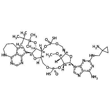 CO[C@H]1[C@H]2OP(=O)(S)OC[C@H]3O[C@@H](n4cc5c6c(ncnc64)NCCC5)[C@H](O[Si](C)(C)C(C)(C)C)[C@@H]3OP(=O)(S)OC[C@H]1O[C@H]2n1cnc2c(N)nc(NCC3(N)CC3)nc21